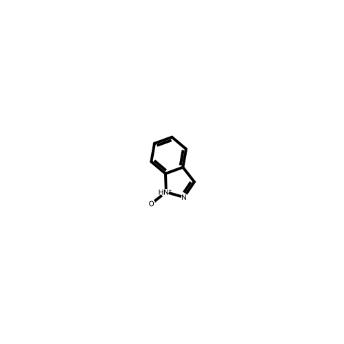 [O-][NH+]1N=Cc2ccccc21